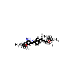 CC[Si](CC)(CC)OC(C)(C)CCC[C@@H](C)[C@H]1CC[C@H]2/C(=C/C=C3/CC(O[Si](C)(C)C(C)(C)C)C[C@H](N)C3)CCC[C@]12C